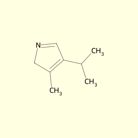 CC1=C(C(C)C)C=NC1